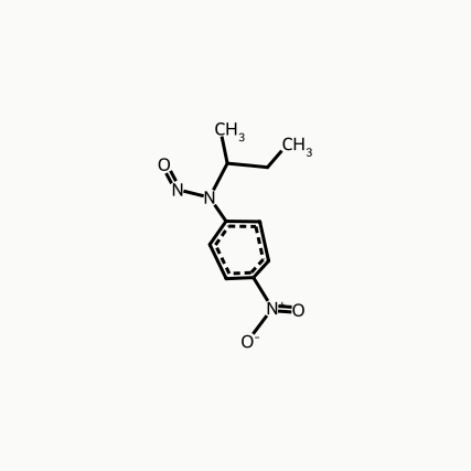 CCC(C)N(N=O)c1ccc([N+](=O)[O-])cc1